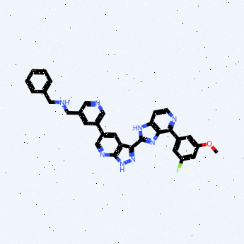 COc1cc(F)cc(-c2nccc3[nH]c(-c4n[nH]c5ncc(-c6cncc(CNCc7ccccc7)c6)cc45)nc23)c1